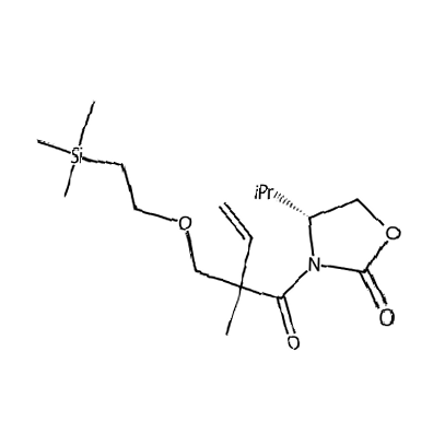 C=CC(C)(COCC[Si](C)(C)C)C(=O)N1C(=O)OC[C@H]1C(C)C